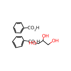 O=C(O)c1ccccc1.O=C(O)c1ccccc1.OCC(O)CO